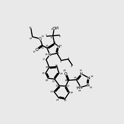 CCCc1nc(C(C)(C)O)c(C(=O)OCC)n1Cc1ccc(-c2ccccc2C(=O)c2nnn[nH]2)cc1